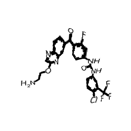 NCCOc1cnc2ccc(C(=O)c3ccc(NC(=O)Nc4ccc(Cl)c(C(F)(F)F)c4)cc3F)cc2n1